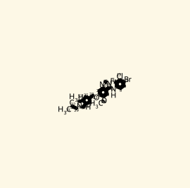 COc1cc2c(Nc3ccc(Br)c(Cl)c3F)ncnc2cc1OCC1C[C@@H]2CN(CC(C)C)C[C@@H]2C1